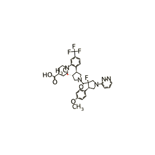 CC[C@H]1CN(C(=O)[C@]2(F)CN(c3cccnn3)C[C@H]2c2ccc(OC)cc2)C[C@@H]1c1ccc(C(F)(F)F)cc1N1CCC(C(=O)O)CC1